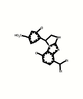 CCC(CC)c1ccc(Cl)c2c1nc1n2C(c2ccc(C(=O)O)cc2Cl)CN1